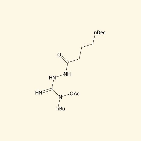 CCCCCCCCCCCCCC(=O)NNC(=N)N(CCCC)OC(C)=O